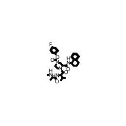 CNC(C)C(=O)NC(C(=O)N1CCN(C(=O)Oc2ccc(F)cc2)CC1C(=O)NC1CCCc2ccccc21)C(C)C